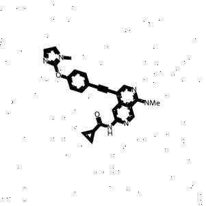 CNc1ncc(C#Cc2ccc(Oc3nccn3C)cc2)c2cc(NC(=O)C3CC3)ncc12